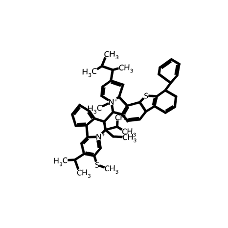 CCC1(C(C)C)C(C2C3=C(C4SC5=C(C=CCC5C5C=CC=CC5)C4C=C3)C3C=C(C(C)C(C)C)C=C[N+]32C)c2ccccc2-c2cc(C(C)C)c(SC)c[n+]21